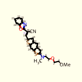 COCCOCCN(C)c1cc2cc3cc(/C=C(\C#N)c4nc5ccccc5o4)sc3cc2s1